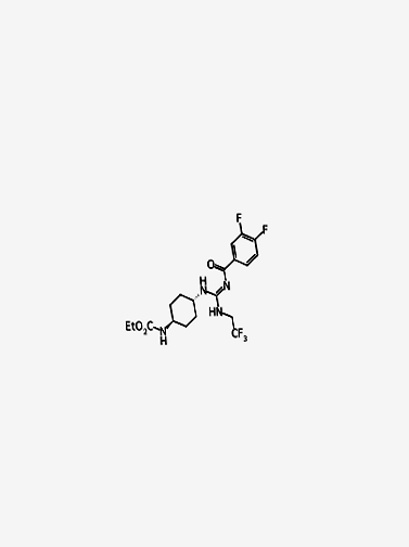 CCOC(=O)N[C@H]1CC[C@H](N/C(=N\C(=O)c2ccc(F)c(F)c2)NCC(F)(F)F)CC1